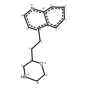 c1ccc2c(CCC3CNCCO3)ccnc2c1